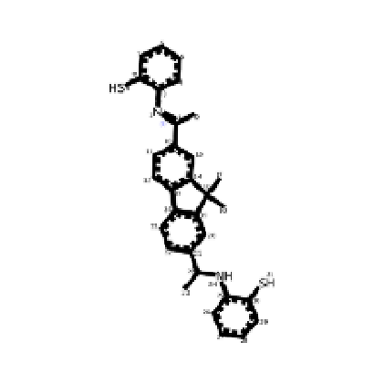 C/C(=N\c1ccccc1S)c1ccc2c(c1)C(C)(C)c1cc(C(C)Nc3ccccc3S)ccc1-2